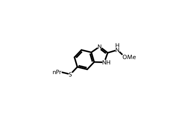 CCCSc1ccc2nc(NOC)[nH]c2c1